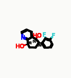 O[C@@H]1CC[C@@H](c2cccc(F)c2F)[C@H](O)c2cccnc21